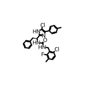 Cc1ccc(-c2nc([C@H](Cc3ccccc3)NC(=O)NCc3c(Cl)ccc(C)c3F)[nH]c2Cl)cc1